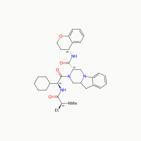 CC[C@H](NC)C(=O)N[C@H](C(=O)N1CC2Cc3ccccc3N2C[C@H]1C(=O)N[C@@H]1CCOc2ccccc21)C1CCCCC1